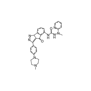 CN1CCN(c2ccc(C3=C4C(=O)c5c(NC(=O)NN(C)c6ccccn6)cccc5C4N=N3)cc2)CC1